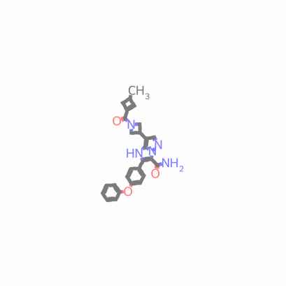 CC1C=C(C(=O)N2CC(c3cnn4c(C(N)=O)c(-c5ccc(Oc6ccccc6)cc5)[nH]c34)C2)C1